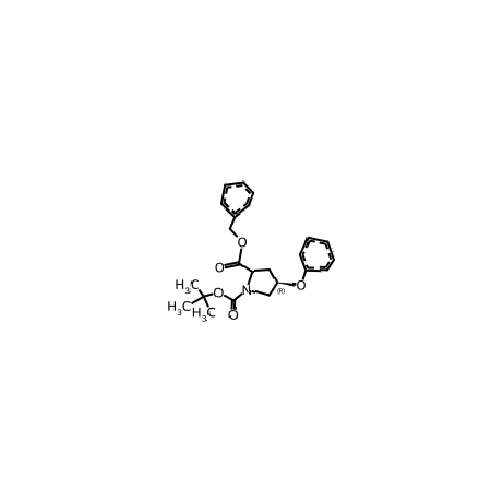 CC(C)(C)OC(=O)N1C[C@H](Oc2ccccc2)CC1C(=O)OCc1ccccc1